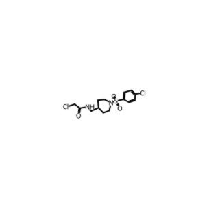 O=C(CCl)NCC1CCN(S(=O)(=O)c2ccc(Cl)cc2)CC1